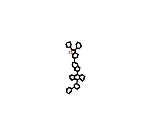 c1ccc(-c2cccc(-c3c4ccccc4c(-c4ccc5cc(-c6ccc7c(-c8ccccc8)c(-c8ccccc8)oc7c6)ccc5c4)c4ccccc34)c2)cc1